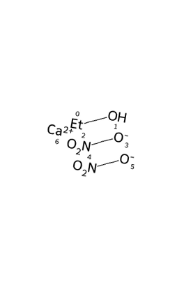 CCO.O=[N+]([O-])[O-].O=[N+]([O-])[O-].[Ca+2]